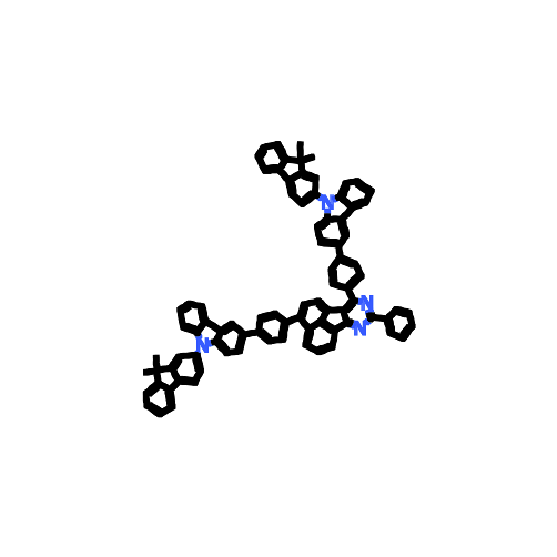 CC1(C)c2ccccc2-c2ccc(-n3c4ccccc4c4cc(-c5ccc(-c6nc(-c7ccccc7)nc7c6-c6ccc(-c8ccc(-c9ccc%10c(c9)c9ccccc9n%10-c9ccc%10c(c9)C(C)(C)c9ccccc9-%10)cc8)c8cccc-7c68)cc5)ccc43)cc21